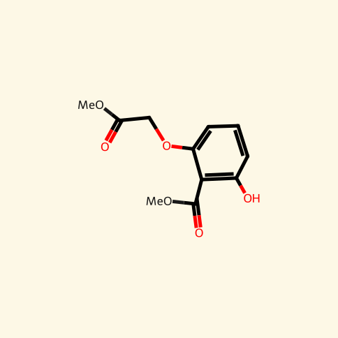 COC(=O)COc1cccc(O)c1C(=O)OC